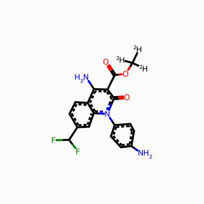 [2H]C([2H])([2H])OC(=O)c1c(N)c2ccc(C(F)F)cc2n(-c2ccc(N)cc2)c1=O